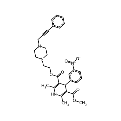 COC(=O)C1=C(C)NC(C)=C(C(=O)OCCN2CCN(CC#Cc3ccccc3)CC2)C1c1cccc([N+](=O)[O-])c1